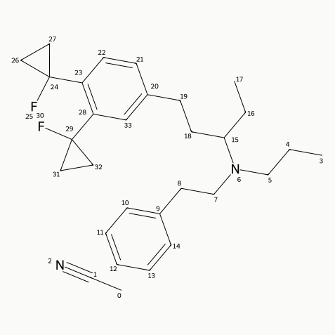 CC#N.CCCN(CCc1ccccc1)C(CC)CCc1ccc(C2(F)CC2)c(C2(F)CC2)c1